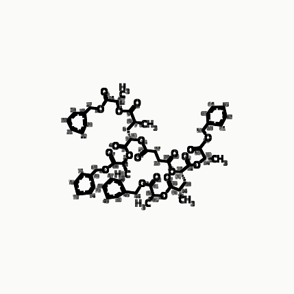 C[C@H](OC(=O)[C@H](C[C@H](C)C(=O)O[C@@H](C)C(=O)OCc1ccccc1)OC(=O)CCC(=O)O[C@@H](C[C@H](C)C(=O)O[C@@H](C)C(=O)OCc1ccccc1)C(=O)O[C@@H](C)C(=O)OCc1ccccc1)C(=O)OCc1ccccc1